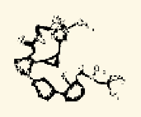 CCOC(=O)c1cnn(-c2cccc(-c3cccc(C(=O)N(C)CC(C)C)c3F)c2)c1C1CC1c1cn(C)nn1